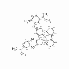 CC(C)c1ccc(N)c(Oc2ccc(C3(c4ccc(Oc5cc(C(C)C)ccc5N)cc4)c4ccccc4-c4ccccc43)cc2)c1